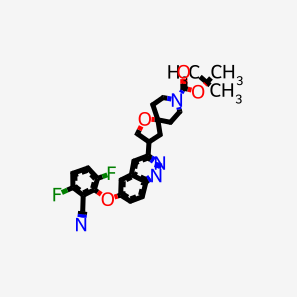 CC(C)(C)OC(=O)N1CCC2(CC1)CC(c1cc3cc(Oc4c(F)ccc(F)c4C#N)ccc3nn1)CO2